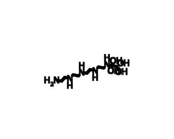 NCCNCCNCCNCCNC(O)(O)C(O)O